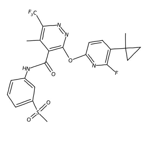 Cc1c(C(F)(F)F)nnc(Oc2ccc(C3(C)CC3)c(F)n2)c1C(=O)Nc1cccc(S(C)(=O)=O)c1